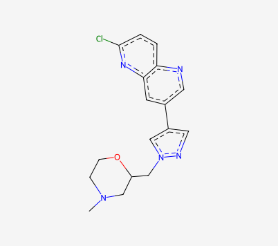 CN1CCOC(Cn2cc(-c3cnc4ccc(Cl)nc4c3)cn2)C1